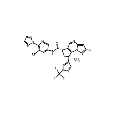 C[C@]1(c2cnn(C(F)(F)F)c2)C[C@H](C(=O)Nc2cnc(-n3nccn3)c(Cl)c2)c2cnc3cc(F)nn3c21